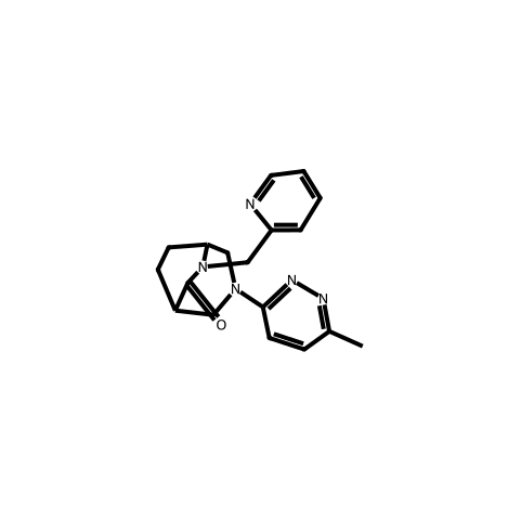 Cc1ccc(N2CC3CCC(C2)N(Cc2ccccn2)C3=O)nn1